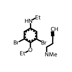 C#CCCNC.CCNc1cc(Br)c(OCC)c(Br)c1